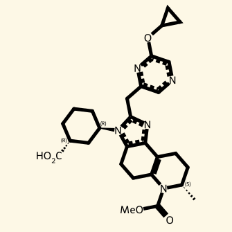 COC(=O)N1C2=C(CC[C@@H]1C)c1nc(Cc3cncc(OC4CC4)n3)n([C@@H]3CCC[C@@H](C(=O)O)C3)c1CC2